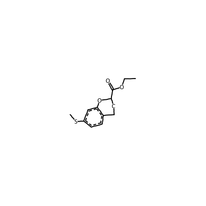 CCOC(=O)C1CCc2ccc(SC)cc2O1